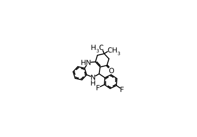 CC1(C)CC(=O)C2=C(C1)Nc1ccccc1NC2c1ccc(F)cc1F